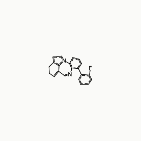 Fc1ccccc1-c1cccc2c1N=CC1=CCCc3ccn-2c31